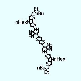 CCCCCCn1c2cc(CC(CC)CCCC)sc2c2sc(-c3ncc(-c4cc5sc(-c6cnc(-c7cc8c(s7)c7sc(CC(CC)CCCC)cc7n8CCCCCC)c7nsnc67)cc5s4)c4nsnc34)cc21